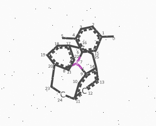 Cc1ccc(C)c(I(C)c2cc3ccc2CCc2ccc(cc2)CC3)c1